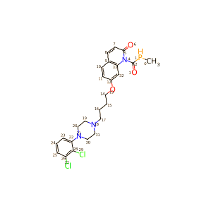 CPC(=O)n1c(=O)ccc2ccc(OCCCCN3CCN(c4cccc(Cl)c4Cl)CC3)cc21